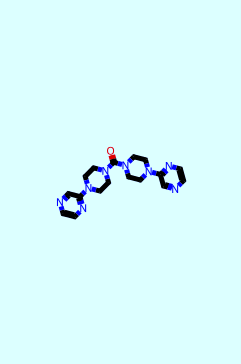 O=C(N1CCN(c2cnccn2)CC1)N1CCN(c2cnccn2)CC1